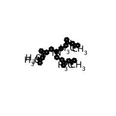 CC1(C)c2ccccc2-c2ccc(-n3c4ccccc4c4cc(-c5ccc(-c6cc(-c7cccc(-c8ccc9c(c8)c8ccccc8n9-c8ccc9c(c8)C(C)(C)c8ccccc8-9)c7)nc(-c7cccc(-c8ccc9c(c8)c8ccccc8n9-c8ccc9c(c8)C(C)(C)c8ccccc8-9)c7)n6)cc5)ccc43)cc21